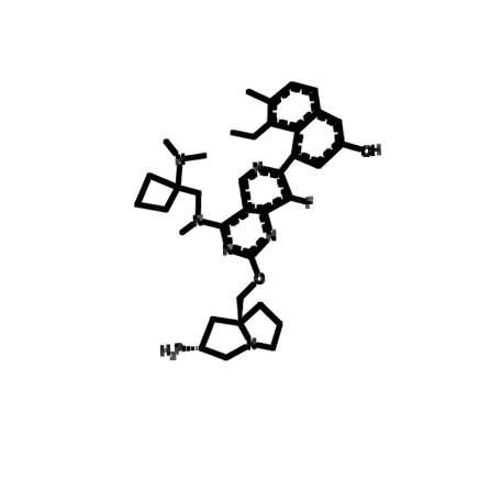 CCc1c(C)ccc2cc(O)cc(-c3ncc4c(N(C)CC5(N(C)C)CCC5)nc(OC[C@@]56CCCN5C[C@H](P)C6)nc4c3F)c12